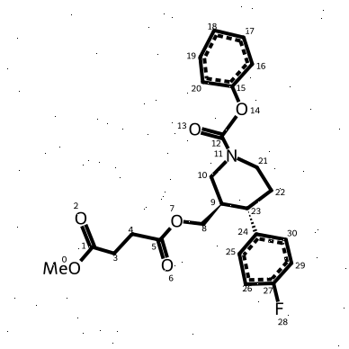 COC(=O)CCC(=O)OC[C@H]1CN(C(=O)Oc2ccccc2)CC[C@@H]1c1ccc(F)cc1